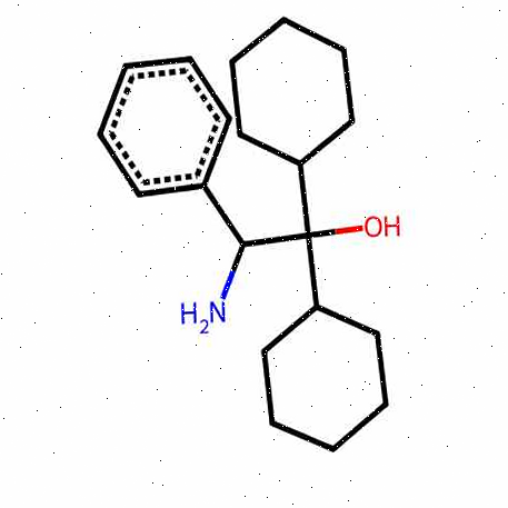 NC(c1ccccc1)C(O)(C1CCCCC1)C1CCCCC1